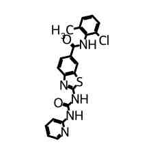 Cc1cccc(Cl)c1NC(=O)c1ccc2nc(NC(=O)Nc3ccccn3)sc2c1